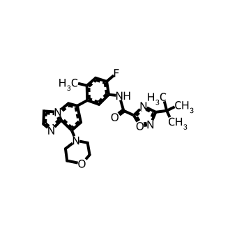 Cc1cc(F)c(NC(=O)c2nc(C(C)(C)C)no2)cc1-c1cc(N2CCOCC2)c2nccn2c1